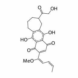 C/C=C\C=C(\OC)C1=CC(=O)c2c(O)c3c(c(O)c2C1=O)CCCC(C(=O)CO)C3